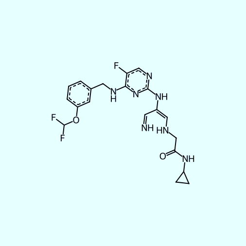 N=C/C(=C\NCC(=O)NC1CC1)Nc1ncc(F)c(NCc2cccc(OC(F)F)c2)n1